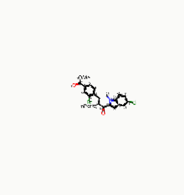 CCCCC[C@@H](Cc1ccc(C(=O)OC)cc1Br)C(=O)c1cc2cc(Cl)ccc2n1C